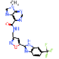 Cn1cnc2c(C(=O)NCc3cc(-c4nc5ccc(C(F)(F)F)cc5[nH]4)on3)ncnc21